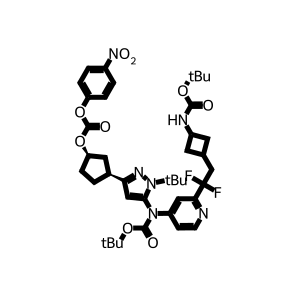 CC(C)(C)OC(=O)NC1CC(CC(F)(F)c2cc(N(C(=O)OC(C)(C)C)c3cc([C@H]4CC[C@@H](OC(=O)Oc5ccc([N+](=O)[O-])cc5)C4)nn3C(C)(C)C)ccn2)C1